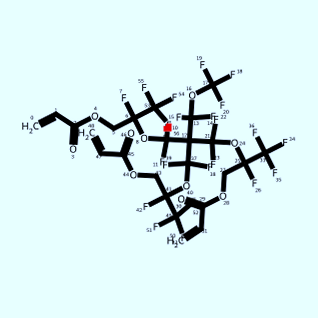 C=CC(=O)OCC(F)(OC(F)(F)C(C(F)(F)OC(F)(F)F)(C(F)(F)OC(F)(COC(=O)C=C)C(F)(F)F)C(F)(F)OC(F)(COC(=O)C=C)C(F)(F)F)C(F)(F)F